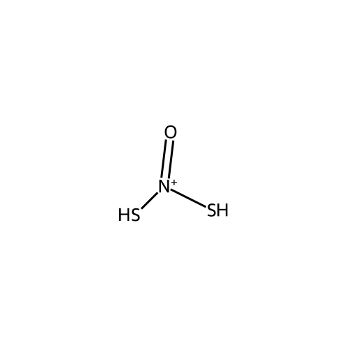 O=[N+](S)S